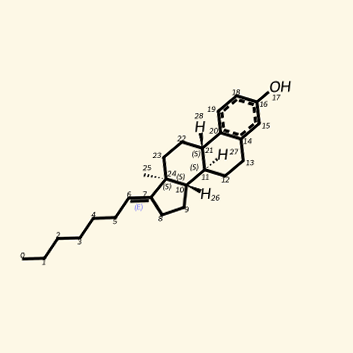 CCCCCC/C=C1\CC[C@H]2[C@@H]3CCc4cc(O)ccc4[C@H]3CC[C@]12C